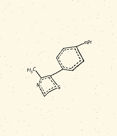 CCCc1ccc(-c2scnc2C)cc1